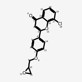 O=c1cc(-c2ccc(OCC3CO3)cc2)oc2c(Cl)cccc12